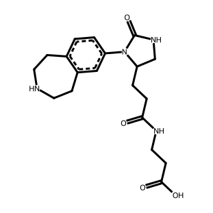 O=C(O)CCNC(=O)CCC1CNC(=O)N1c1ccc2c(c1)CCNCC2